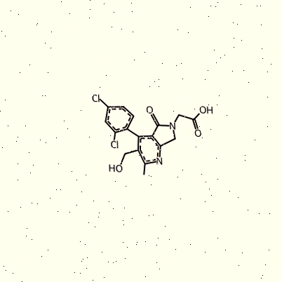 Cc1nc2c(c(-c3ccc(Cl)cc3Cl)c1CO)C(=O)N(CC(=O)O)C2